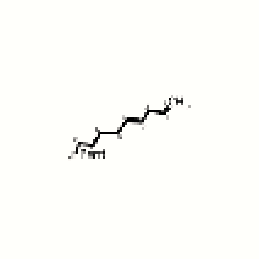 C=CC/C=C/CCCCCCCCC